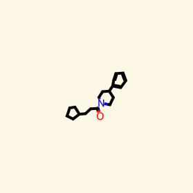 O=C(CCC1CCCC1)N1CCC(c2ccccc2)CC1